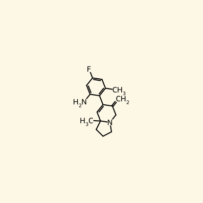 C=C1CN2CCCC2(C)C=C1c1c(C)cc(F)cc1N